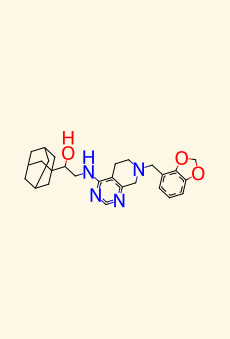 OC(CNc1ncnc2c1CCN(Cc1cccc3c1OCO3)C2)C12CC3CC(CC(C3)C1)C2